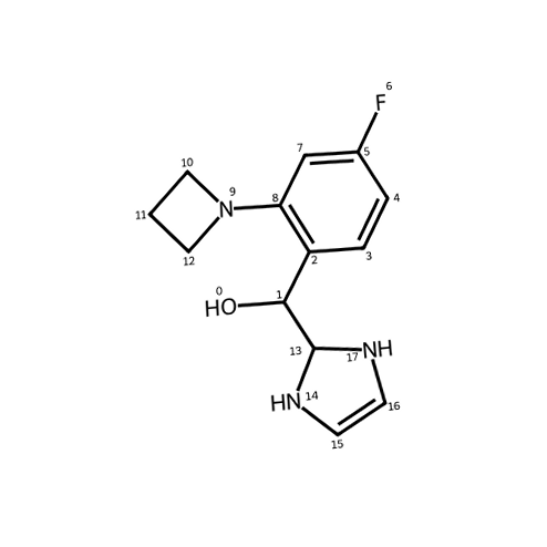 OC(c1ccc(F)cc1N1CCC1)C1NC=CN1